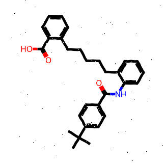 CC(C)(C)c1ccc(C(=O)Nc2ccccc2CCCCCc2ccccc2C(=O)O)cc1